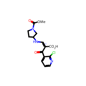 COC(=O)N1CCC(N/C=C(/C(=O)O)C(=O)c2cccnc2Cl)C1